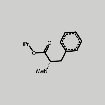 CN[C@@H](Cc1ccccc1)C(=O)OC(C)C